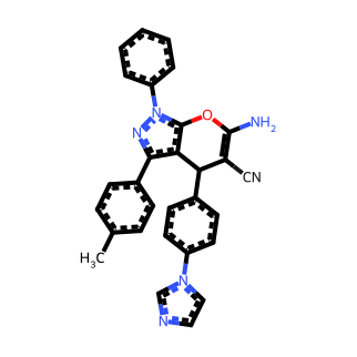 Cc1ccc(-c2nn(-c3ccccc3)c3c2C(c2ccc(-n4ccnc4)cc2)C(C#N)=C(N)O3)cc1